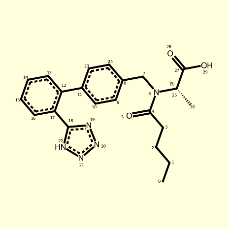 CCCCC(=O)N(Cc1ccc(-c2ccccc2-c2nnn[nH]2)cc1)[C@@H](C)C(=O)O